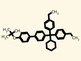 CCc1ccc(C(c2ccc(CC)cc2)(c2ccc(-c3ccc(OC(C)(C)C)cc3)cc2)C2CCCCC2)cc1